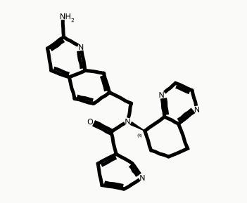 Nc1ccc2ccc(CN(C(=O)c3cccnc3)[C@@H]3CCCc4nccnc43)cc2n1